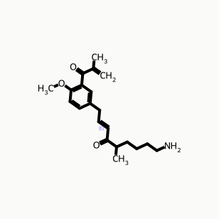 C=C(C)C(=O)c1cc(C/C=C/C(=O)C(C)CCCCN)ccc1OC